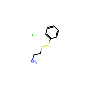 Cl.NCCSSc1ccccc1